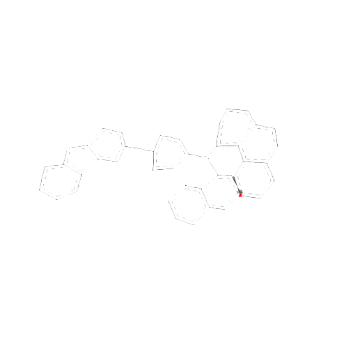 c1ccc2c(N(c3ccc(-c4ccc5oc6ccccc6c5c4)cc3)c3cccc4ccc5ccccc5c34)cccc2c1